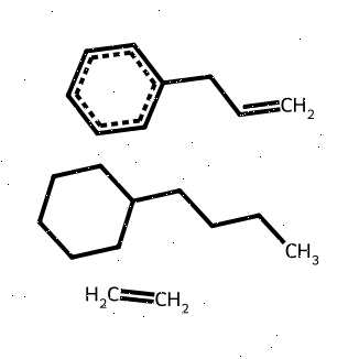 C=C.C=CCc1ccccc1.CCCCC1CCCCC1